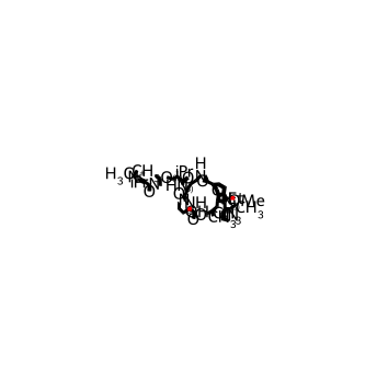 CCn1c(-c2cccnc2[C@H](C)OC)c2c3cc(ccc31)C1=CNC(C[C@H](NC(=O)[C@@H](COC3CN(C(=O)C#C[N+](C)(C)C(C)C)C3)C(C)C)C(=O)N3CCC[C@@](O)(N3)C(=O)OCC(C)(C)C2)O1